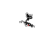 CCCC1=C(Cc2ccc(-c3ccccc3-c3noc(=O)[nH]3)cc2)CN(c2ccc(OC(C)C)cc2)C(OC)=N1